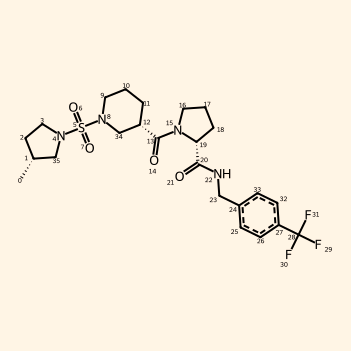 C[C@@H]1CCN(S(=O)(=O)N2CCC[C@H](C(=O)N3CCC[C@@H]3C(=O)NCc3ccc(C(F)(F)F)cc3)C2)C1